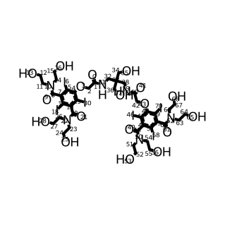 O=C(COc1c(I)c(C(=O)N(CCO)CCO)c(I)c(C(=O)N(CCO)CCO)c1I)NCC(CO)(CO)CNC(=O)COc1c(I)c(C(=O)N(CCO)CCO)c(I)c(C(=O)N(CCO)CCO)c1I